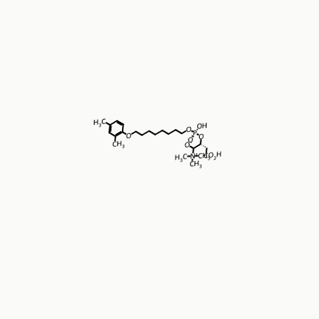 Cc1ccc(OCCCCCCCCOP(=O)(O)O[C@H](CC(=O)O)C([O-])[N+](C)(C)C)c(C)c1